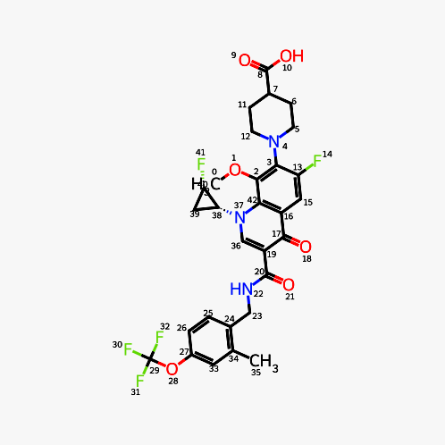 COc1c(N2CCC(C(=O)O)CC2)c(F)cc2c(=O)c(C(=O)NCc3ccc(OC(F)(F)F)cc3C)cn([C@@H]3C[C@@H]3F)c12